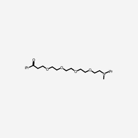 CC(C)C(=O)CCOCCOCCOCCOCCN(C)C(C)C